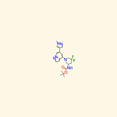 Cn1cc(-c2cc(N3CC(NC(=O)OC(C)(C)C)CC(F)(F)C3)c3ccnn3c2)cn1